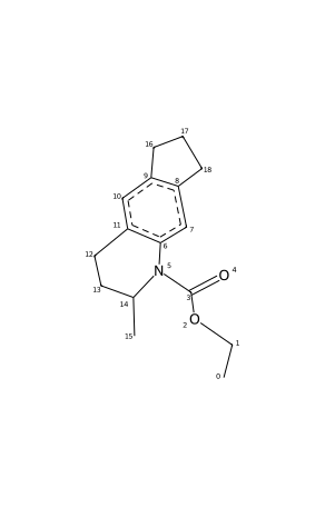 CCOC(=O)N1c2cc3c(cc2CCC1C)CCC3